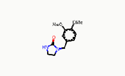 COc1ccc(CN2CCNC2=O)cc1OC